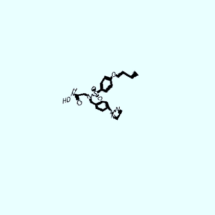 C=CCCOc1ccc(S(=O)(=O)N(CC(=O)NO)Cc2ccc(-n3nccn3)cc2)cc1